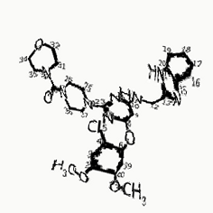 COc1cc(Cl)c(Oc2cc(NCc3nc4ccccc4[nH]3)nc(N3CCN(C(=O)N4CCOCC4)CC3)n2)cc1OC